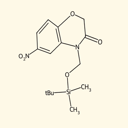 CC(C)(C)[Si](C)(C)OCN1C(=O)COc2ccc([N+](=O)[O-])cc21